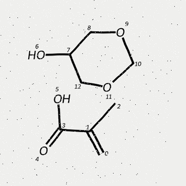 C=C(C)C(=O)O.OC1COCOC1